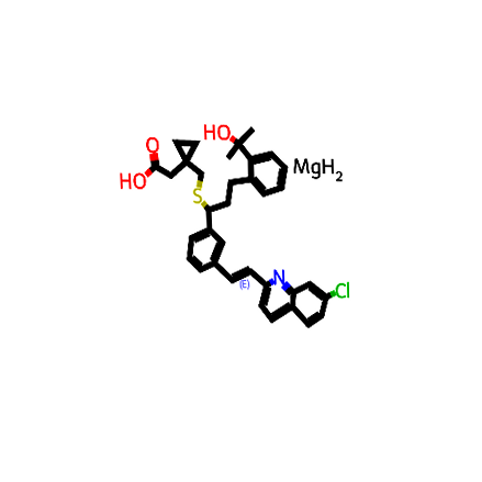 CC(C)(O)c1ccccc1CCC(SCC1(CC(=O)O)CC1)c1cccc(/C=C/c2ccc3ccc(Cl)cc3n2)c1.[MgH2]